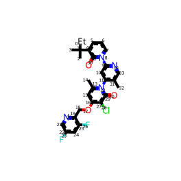 CCC(C)(C)c1cccn(-c2cc(-n3c(C)cc(OCc4ncc(F)cc4F)c(Cl)c3=O)c(C)cn2)c1=O